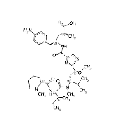 CC[C@H](C)[C@H](NC(=O)[C@H]1CCCCN1C)C(=O)N(C)[C@H](C[C@@H](OC)c1nc(C(=O)N[C@@H](Cc2ccc(N)cc2)C[C@H](C)C(=O)O)cs1)C(C)C